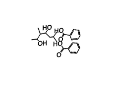 CC(C)CC(O)C(C)C(C)O.O=C(O)c1ccccc1.O=C(O)c1ccccc1